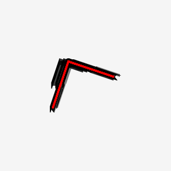 [K+].[K+].[K+].[K+].[K+].[K+].[K+].[K+].[K+].[K+].[K+].[K+].[K+].[K+].[K+].[K+].[K+].[K+].[K+].[K+].[K+].[K+].[K+].[K+].[K+].[K+].[K+].[K+].[K+].[K+].[K+].[K+].[K+].[K+].[K+].[K+].[K+].[K+].[K+].[K+].[K+].[K+].[K+].[K+].[K+].[K+].[K+].[K+].[K+].[K+].[OH-].[OH-].[OH-].[OH-].[OH-].[OH-].[OH-].[OH-].[OH-].[OH-].[OH-].[OH-].[OH-].[OH-].[OH-].[OH-].[OH-].[OH-].[OH-].[OH-].[OH-].[OH-].[OH-].[OH-].[OH-].[OH-].[OH-].[OH-].[OH-].[OH-].[OH-].[OH-].[OH-].[OH-].[OH-].[OH-].[OH-].[OH-].[OH-].[OH-].[OH-].[OH-].[OH-].[OH-].[OH-].[OH-].[OH-].[OH-].[OH-].[OH-]